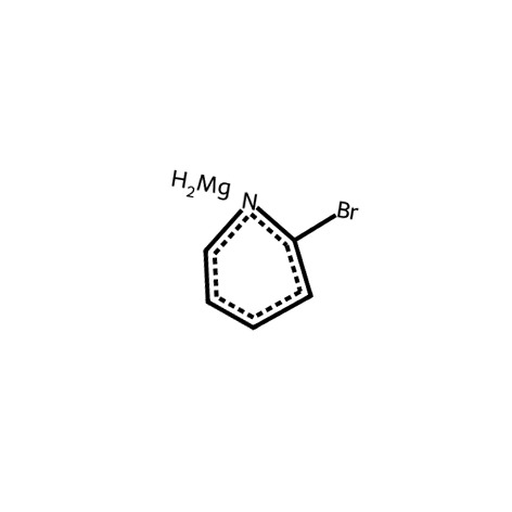 Brc1ccccn1.[MgH2]